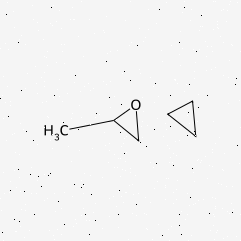 C1CC1.CC1CO1